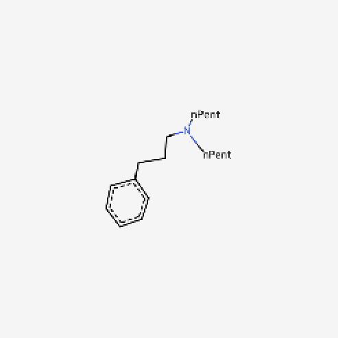 [CH2]CCCCN(CCCCC)CCCc1ccccc1